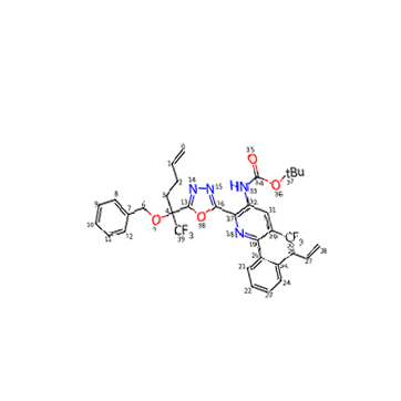 C=CCCC(OCc1ccccc1)(c1nnc(-c2nc(-c3ccccc3CC=C)c(C(F)(F)F)cc2NC(=O)OC(C)(C)C)o1)C(F)(F)F